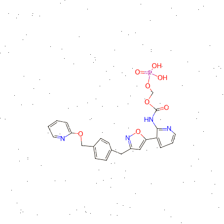 O=C(Nc1ncccc1-c1cc(Cc2ccc(COc3ccccn3)cc2)no1)OCOP(=O)(O)O